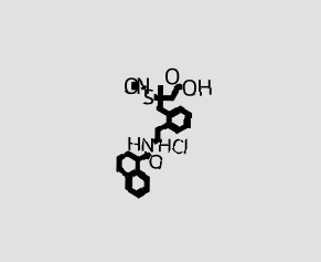 CC(CC(=O)O)(Cc1ccccc1CCNC(=O)C1CCCc2ccccc21)SN=O.Cl